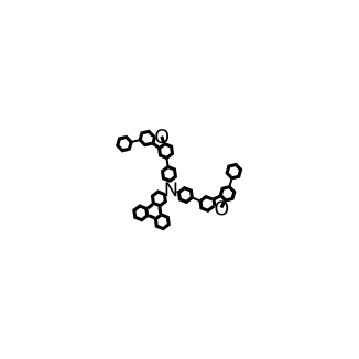 c1ccc(-c2ccc3oc4ccc(-c5ccc(N(c6ccc(-c7ccc8oc9ccc(-c%10ccccc%10)cc9c8c7)cc6)c6ccc7c8ccccc8c8ccccc8c7c6)cc5)cc4c3c2)cc1